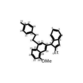 CCC1=Cc2ccccc2C1c1cc(CCc2ccc(C)cc2)c2cccc(OC)c2c1